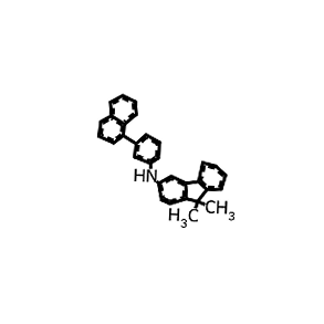 CC1(C)c2ccccc2-c2cc(Nc3cccc(-c4cccc5ccccc45)c3)ccc21